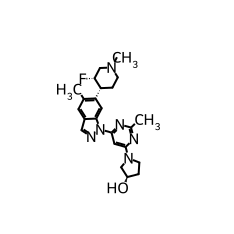 Cc1nc(N2CC[C@@H](O)C2)cc(-n2ncc3cc(C)c([C@H]4CCN(C)C[C@H]4F)cc32)n1